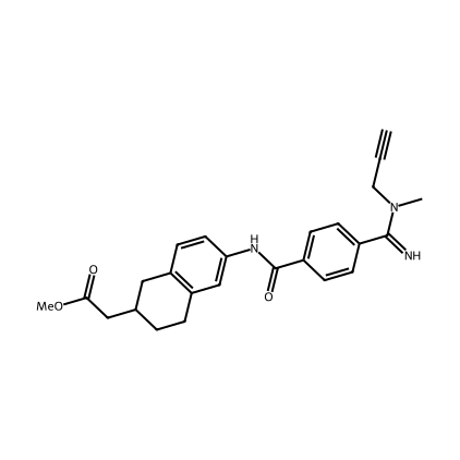 C#CCN(C)C(=N)c1ccc(C(=O)Nc2ccc3c(c2)CCC(CC(=O)OC)C3)cc1